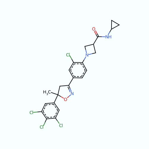 CC1(c2cc(Cl)c(Cl)c(Cl)c2)CC(c2ccc(N3CC(C(=O)NC4CC4)C3)c(Cl)c2)=NO1